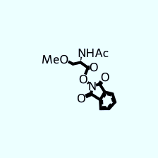 COC[C@H](NC(C)=O)C(=O)ON1C(=O)c2ccccc2C1=O